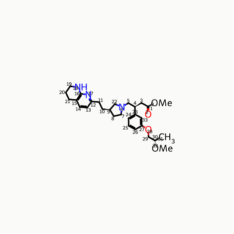 COC(=O)C[C@H](CN1CC[C@@H](CCc2ccc3c(n2)NCCC3)C1)c1cccc(OC[C@H](C)OC)c1